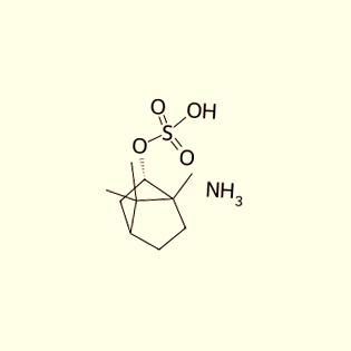 CC1(C)C2CCC1(C)[C@@H](OS(=O)(=O)O)C2.N